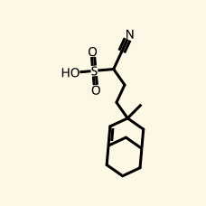 CC1(CCC(C#N)S(=O)(=O)O)C=C2CCCC(C2)C1